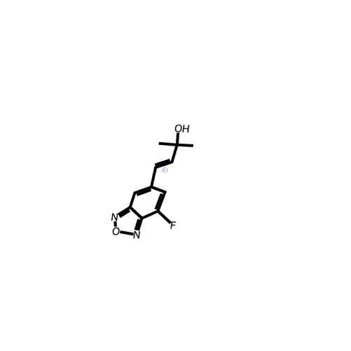 CC(C)(O)/C=C/c1cc(F)c2nonc2c1